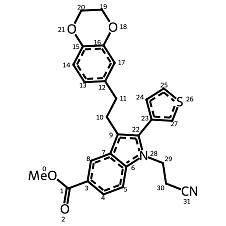 COC(=O)c1ccc2c(c1)c(CCc1ccc3c(c1)OCCO3)c(-c1ccsc1)n2CCC#N